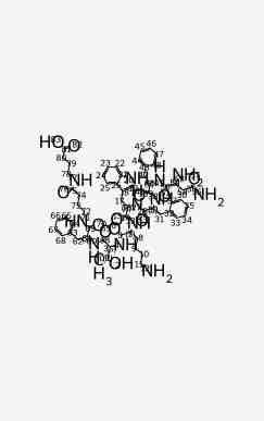 C[C@@H](O)[C@H](NC(=O)[C@H](CCCCN)NC(=O)[C@@H](Cc1c[nH]c2ccccc12)NC(=O)[C@H](Cc1ccccc1)NC(=O)[C@H](Cc1ccccc1)NC(=O)[C@@H](N)CC(N)=O)C(=O)N[C@@H](Cc1ccccc1)C(=O)NCCCC(=O)NCCCC(=O)O